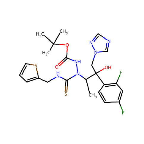 CC(N(NC(=O)OC(C)(C)C)C(=S)NCc1cccs1)C(O)(Cn1cncn1)c1ccc(F)cc1F